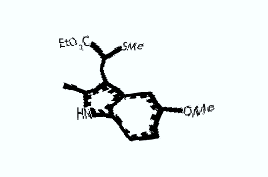 CCOC(=O)C(SC)c1c(C)[nH]c2ccc(OC)cc12